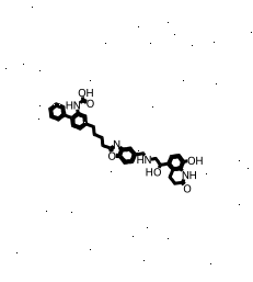 O=C(O)Nc1cc(CCCCc2nc3cc(CNCC(O)c4ccc(O)c5c4CCC(=O)N5)ccc3o2)ccc1-c1ccccc1